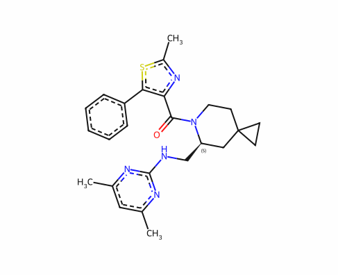 Cc1cc(C)nc(NC[C@@H]2CC3(CCN2C(=O)c2nc(C)sc2-c2ccccc2)CC3)n1